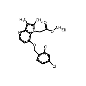 COC(=O)Cn1c(C)c(C)c2nccc(OCc3ccc(Cl)cc3Cl)c21.Cl